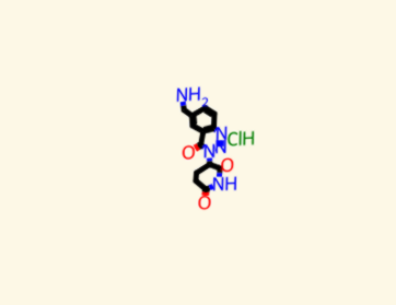 Cl.NCc1ccc2nnn(C3CCC(=O)NC3=O)c(=O)c2c1